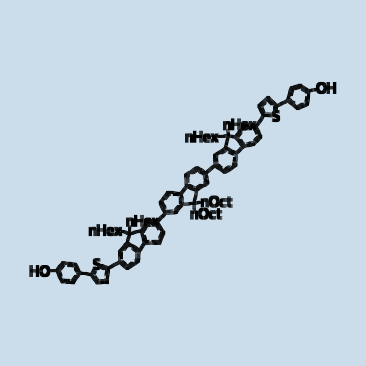 CCCCCCCCC1(CCCCCCCC)c2cc(-c3ccc4c(c3)C(CCCCCC)(CCCCCC)c3cc(-c5ccc(-c6ccc(O)cc6)s5)ccc3-4)ccc2-c2ccc(-c3ccc4c(c3)C(CCCCCC)(CCCCCC)c3cc(-c5ccc(-c6ccc(O)cc6)s5)ccc3-4)cc21